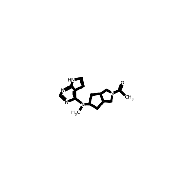 CC(=O)N1CC2CC(N(C)c3ncnc4[nH]ccc34)CC2C1